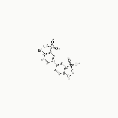 O=S(=O)(Cl)c1cc(-c2ccc(Br)c(S(=O)(=O)Cl)c2)ccc1Br